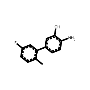 Cc1ccc(F)cc1-c1ccc(N)c(O)c1